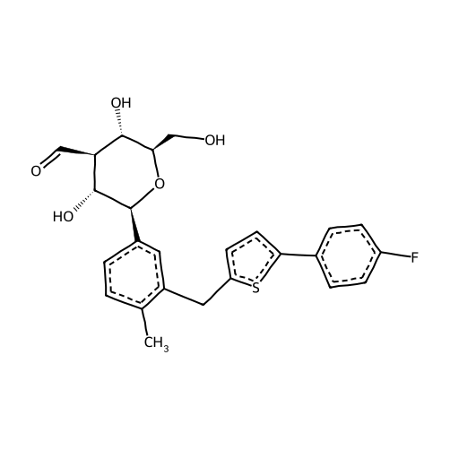 Cc1ccc([C@@H]2O[C@H](CO)[C@@H](O)[C@H](C=O)[C@H]2O)cc1Cc1ccc(-c2ccc(F)cc2)s1